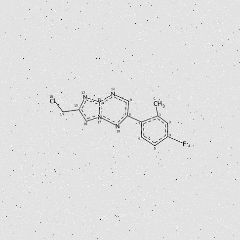 Cc1cc(F)ccc1-c1cnc2nc(CCl)cn2n1